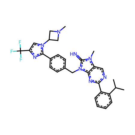 CC(C)c1ccccc1-c1ncc2c(n1)n(Cc1ccc(-c3nc(C(F)(F)F)cn3C3CN(C)C3)cc1)c(=N)n2C